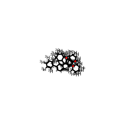 [2H]c1c([2H])c([2H])c(-c2ccc3oc4ccccc4c3c2C2([2H])C(c3nnnc(C4([2H])C([2H])C([2H])([2H])C([2H])([2H])C([2H])([2H])C4([2H])[2H])c3C3([2H])C([2H])C([2H])([2H])C([2H])([2H])C([2H])([2H])C3([2H])[2H])C([2H])([2H])C([2H])([2H])C([2H])([2H])C2([2H])[2H])c([2H])c1[2H]